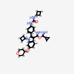 N=C(OC(=N)C1CC1)c1c(-c2ccc(NC(=O)NC3CCC3)cc2)n(C2CCC2)c2cc(OC3CCOCC3)ccc12